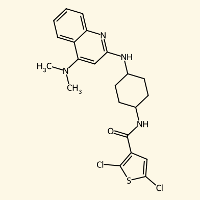 CN(C)c1cc(NC2CCC(NC(=O)c3cc(Cl)sc3Cl)CC2)nc2ccccc12